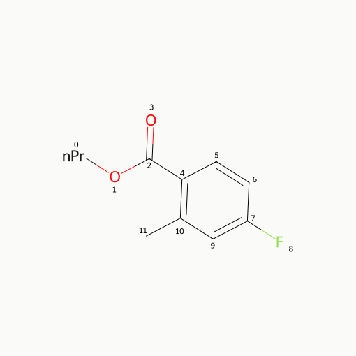 CCCOC(=O)c1ccc(F)cc1C